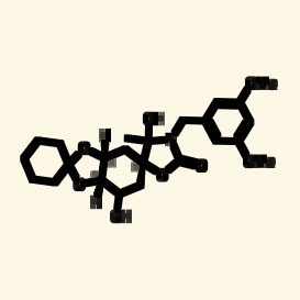 COc1cc(CN2C(=O)O[C@@]3(CC(O)[C@@H]4OC5(CCCCC5)O[C@@H]4C3)C2(C)O)cc(OC)c1